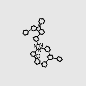 c1ccc(-c2cc(-c3ccccc3)cc(-c3cccc(-c4nc(-c5cccc(-c6cccc7c6c6cc(-c8ccccc8)ccc6n7-c6ccccc6)c5)nc(-c5cccc6c5oc5ccccc56)n4)c3)c2)cc1